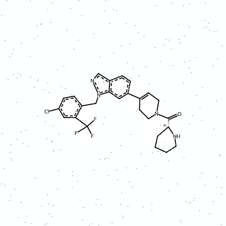 O=C([C@H]1CCCCN1)N1CC=C(c2ccc3cnn(Cc4ccc(Cl)cc4C(F)(F)F)c3c2)CC1